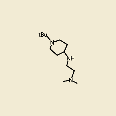 CN(C)CCNC1CCN(C(C)(C)C)CC1